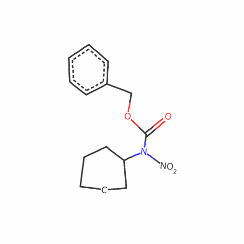 O=C(OCc1ccccc1)N(C1CCCCC1)[N+](=O)[O-]